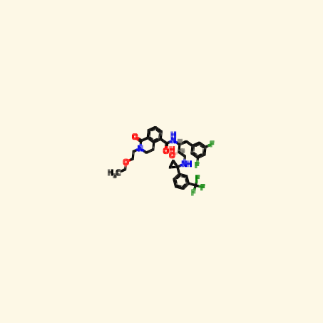 CCOCCN1CCc2c(C(=O)N[C@@H](Cc3cc(F)cc(F)c3)[C@@H](O)CNC3(c4cccc(C(F)(F)F)c4)CC3)cccc2C1=O